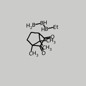 BBBCC.CC12CCC(C(=O)C1=O)C2(C)C